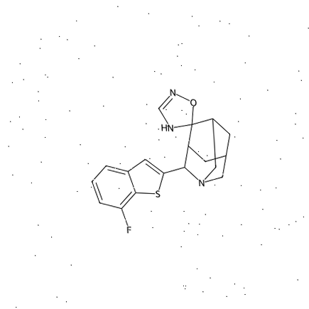 Fc1cccc2cc(C3C4CC5CC(CN3C5)C43NC=NO3)sc12